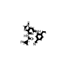 CCc1ccc(C#N)cc1Nc1cc2c(ncn2C)c(NC(=O)[C@H]2C[C@H]2F)n1